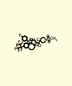 CC1(C(=O)N2CC[C@]3(S(=O)(=O)c4ccc(F)cc4)c4ccc(C(F)(C(F)(F)F)C(F)(F)F)cc4CCC[C@H]23)CCN(S(C)(=O)=O)CC1